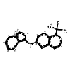 CC(C)(F)c1nccc2cc(Nc3n[nH]c4cccnc34)ccc12